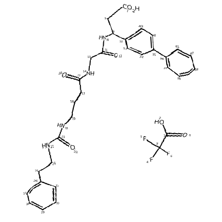 O=C(O)C(F)(F)F.O=C(O)CC(NC(=O)CNC(=O)CCCNC(=O)NCCc1ccccc1)c1ccc(-c2ccccc2)cc1